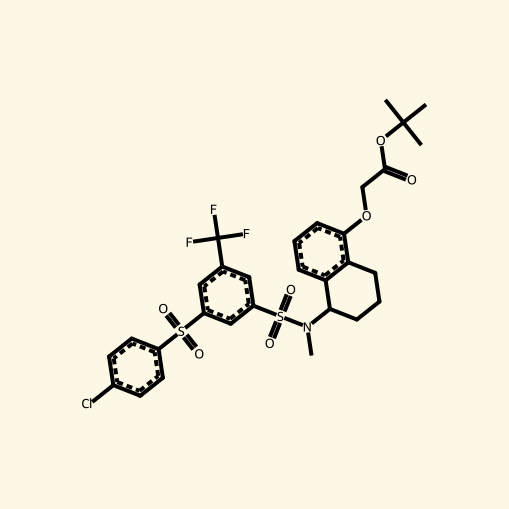 CN(C1CCCc2c(OCC(=O)OC(C)(C)C)cccc21)S(=O)(=O)c1cc(C(F)(F)F)cc(S(=O)(=O)c2ccc(Cl)cc2)c1